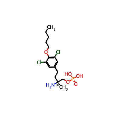 CCCCCOc1c(Cl)cc(CC[C@@](C)(N)COP(=O)(O)O)cc1Cl